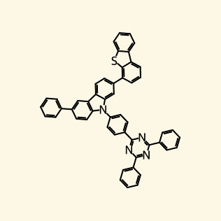 c1ccc(-c2ccc3c(c2)c2ccc(-c4cccc5c4sc4ccccc45)cc2n3-c2ccc(-c3nc(-c4ccccc4)nc(-c4ccccc4)n3)cc2)cc1